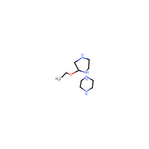 C1CNCCN1.CCOC1CNCCN1